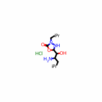 CC(C)CC(N)C(O)C1NN(CC(C)C)C(=O)O1.Cl